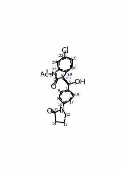 CC(=O)N1C(=O)/C(=C(/O)c2ccc(N3CCCC3=O)cc2)c2ccc(Cl)cc21